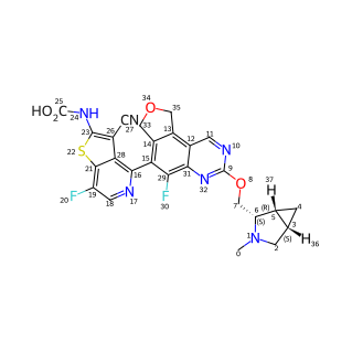 CN1C[C@H]2C[C@H]2[C@H]1COc1ncc2c3c(c(-c4ncc(F)c5sc(NC(=O)O)c(C#N)c45)c(F)c2n1)COC3